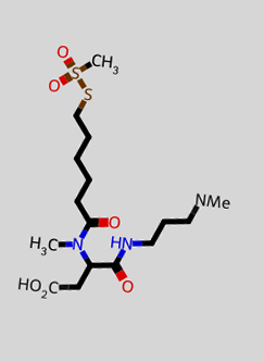 CNCCCNC(=O)C(CC(=O)O)N(C)C(=O)CCCCCSS(C)(=O)=O